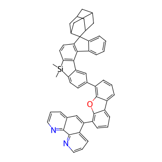 C[Si]1(C)c2ccc(-c3cccc4c3oc3c(-c5cc6cccnc6c6ncccc56)cccc34)cc2-c2c1ccc1c2-c2ccccc2C12C1CC3CC(C1)CC2C3